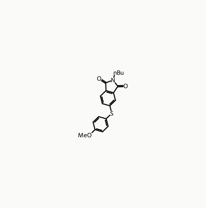 CCCCN1C(=O)c2ccc(Sc3ccc(OC)cc3)cc2C1=O